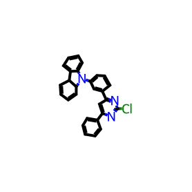 Clc1nc(-c2ccccc2)cc(-c2cccc(N3c4ccccc4C4C=CC=CC43)c2)n1